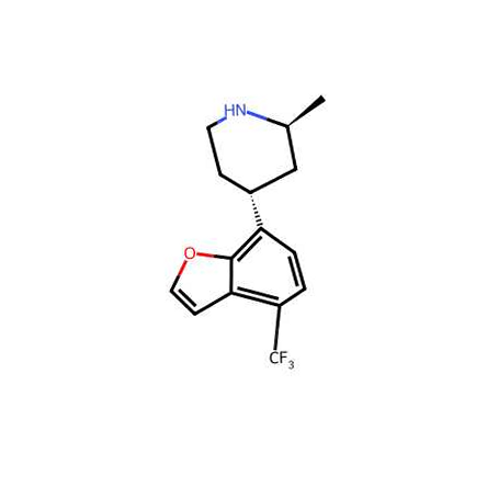 C[C@H]1C[C@H](c2ccc(C(F)(F)F)c3ccoc23)CCN1